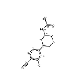 N#Cc1ncc(N2CCCC(NC(=O)O)C2)nc1Cl